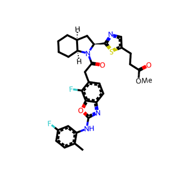 COC(=O)CCc1cnc([C@@H]2C[C@@H]3CCCC[C@@H]3N2C(=O)Cc2ccc3nc(Nc4cc(F)ccc4C)oc3c2F)s1